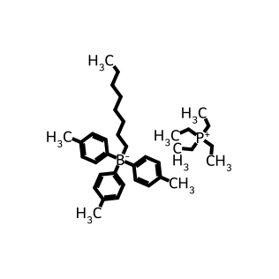 CCCCCCCC[B-](c1ccc(C)cc1)(c1ccc(C)cc1)c1ccc(C)cc1.CC[P+](CC)(CC)CC